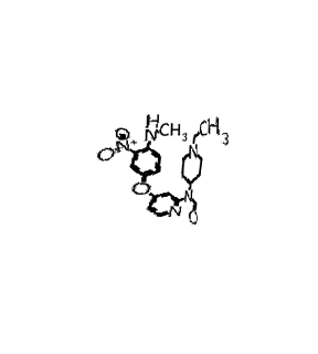 CCN1CCC(N(C=O)c2cc(Oc3ccc(NC)c([N+](=O)[O-])c3)ccn2)CC1